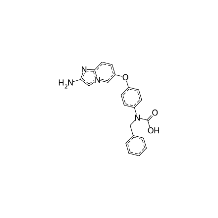 Nc1cn2cc(Oc3ccc(N(Cc4ccccc4)C(=O)O)cc3)ccc2n1